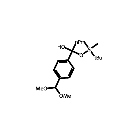 CCCC(O)(O[Si](C)(C)C(C)(C)C)c1ccc(C(OC)OC)cc1